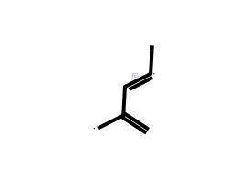 [CH2]C(=C)/C=[C]/C